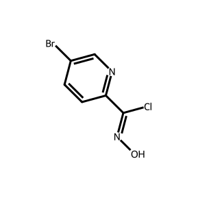 O/N=C(\Cl)c1ccc(Br)cn1